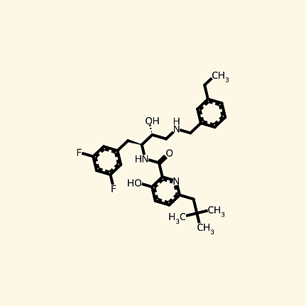 CCc1cccc(CNC[C@@H](O)[C@H](Cc2cc(F)cc(F)c2)NC(=O)c2nc(CC(C)(C)C)ccc2O)c1